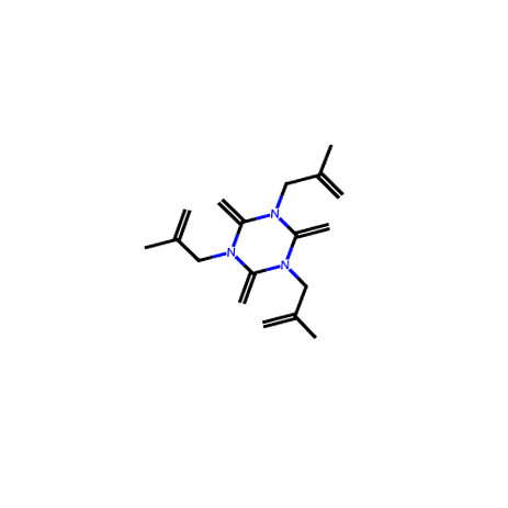 C=C(C)CN1C(=C)N(CC(=C)C)C(=C)N(CC(=C)C)C1=C